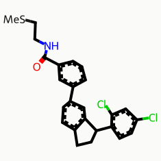 CSCCNC(=O)c1cccc(-c2ccc3c(c2)C(c2ccc(Cl)cc2Cl)CC3)c1